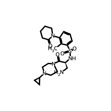 Cc1c(N2CCCCC2=O)cccc1S(=O)(=O)N[C@@H](CN)C(=O)N1CCN(C2CC2)CC1